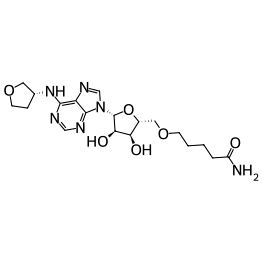 NC(=O)CCCCOC[C@H]1O[C@@H](n2cnc3c(N[C@@H]4CCOC4)ncnc32)[C@H](O)[C@@H]1O